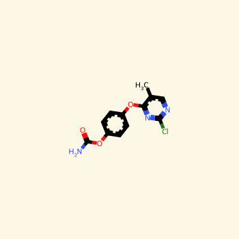 Cc1cnc(Cl)nc1Oc1ccc(OC(N)=O)cc1